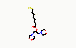 O=C(CCCC[C@@H](S)CCS)OC(CN1CCOCC1)CN1CCOCC1